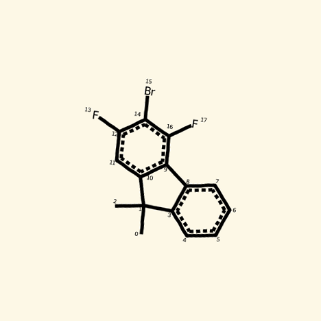 CC1(C)c2ccccc2-c2c1cc(F)c(Br)c2F